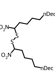 CCCCCCCCCCCCCCC(SSC(CCCCCCCCCCCCCC)[N+](=O)[O-])[N+](=O)[O-]